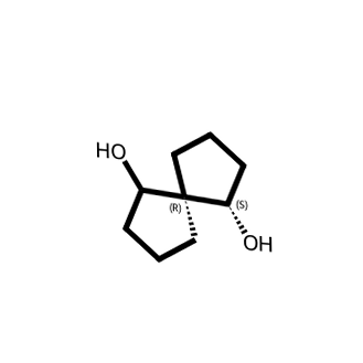 OC1CCC[C@@]12CCC[C@@H]2O